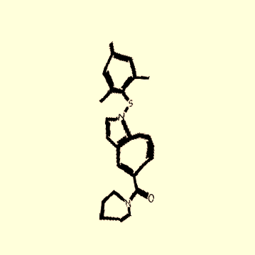 Cc1cc(C)c(Sn2ccc3cc(C(=O)N4CCCCC4)ccc32)c(C)c1